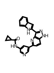 O=C(Nc1cncc(-c2ccc3[nH]nc(-c4cc5ccccc5[nH]4)c3n2)c1)C1CC1